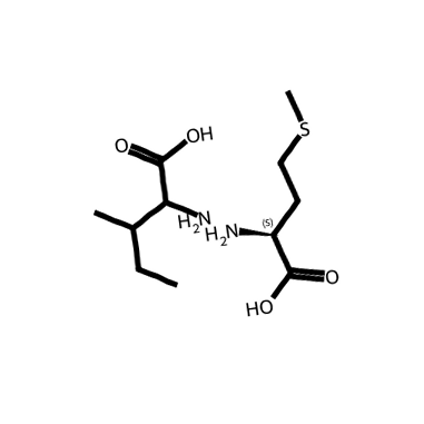 CCC(C)C(N)C(=O)O.CSCC[C@H](N)C(=O)O